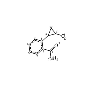 NC(=O)c1ccccc1C1CC1Cl